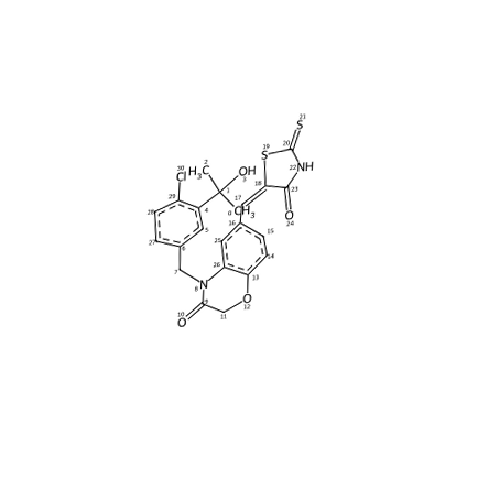 CC(C)(O)c1cc(CN2C(=O)COc3ccc(C=C4SC(=S)NC4=O)cc32)ccc1Cl